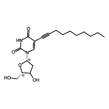 CCCCCCCCC#Cc1cn([C@@H]2CC(O)[C@H](CO)O2)c(=O)[nH]c1=O